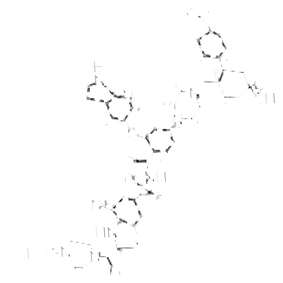 CN1CCN(C(=O)[C@H]2COc3cc(S(=O)(=O)NC(=O)c4ccc(N5CCN(CC6=C(c7ccc(Cl)cc7)CC(C)(C)CC6)CC5)cc4Oc4cnc5[nH]ccc5c4)cc([N+](=O)[O-])c3N2)CC1